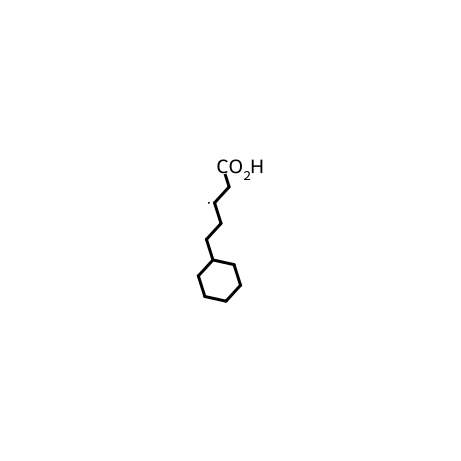 O=C(O)C[CH]CCC1CCCCC1